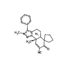 [C-]#[N+]C1=C[C@]2(C)c3nn(C)c(-c4ccccc4)c3CC[C@H]2C2(CCCC2)C1=O